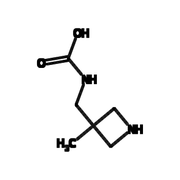 CC1(CNC(=O)O)CNC1